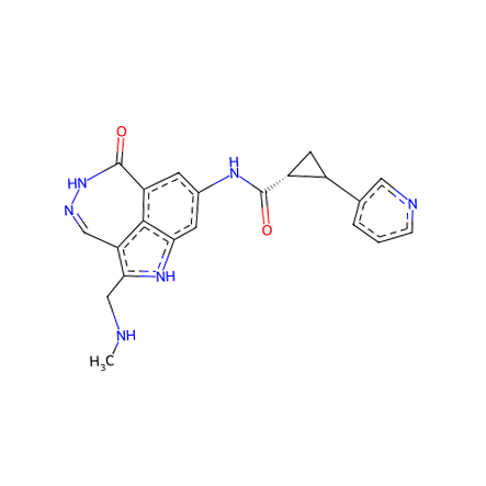 CNCc1[nH]c2cc(NC(=O)[C@@H]3CC3c3cccnc3)cc3c2c1C=NNC3=O